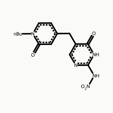 CCCCn1ccc(Cc2cnc(N[N+](=O)[O-])[nH]c2=O)cc1=O